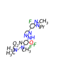 Cc1nc2c(F)cc(-c3ccnc(Nc4cc([N+](=O)[O-])c(N(C)CCN(C)C)cc4OC(F)F)n3)cc2n1C(C)C